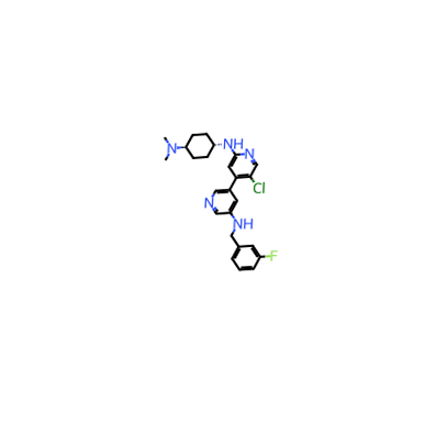 CN(C)[C@H]1CC[C@H](Nc2cc(-c3cncc(NCc4cccc(F)c4)c3)c(Cl)cn2)CC1